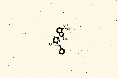 Cc1cnc(-n2c(C)cc3c(B(O)O)cccc32)nc1NCc1ccccc1